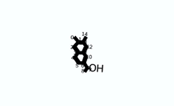 Cc1cc2ccc(C(C)O)cc2cc1C